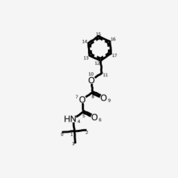 CC(C)(C)NC(=O)OC(=O)OCc1ccccc1